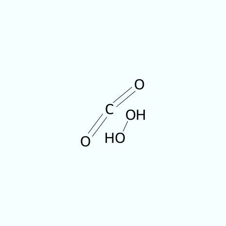 O=C=O.OO